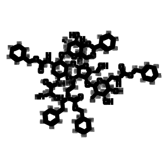 CCC[C@H](O)C(=O)N[C@@H]1C[C@H](NC(=O)OCc2ccccc2)[C@@H](O[C@H]2O[C@@H]3COC(c4ccccc4)O[C@H]3[C@H](O)[C@H]2C)[C@H](O[C@@H]2O[C@H](CO)[C@@H](O[C@H]3O[C@@H](CNC(=O)OCc4ccccc4)[C@@H](O)[C@H](O)[C@H]3C)[C@H]2OCCN(CCc2ccccc2)C(=O)OCc2ccccc2)[C@H]1O